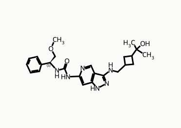 COC[C@@H](NC(=O)Nc1cc2[nH]nc(NCC3CC(C(C)(C)O)C3)c2cn1)c1ccccc1